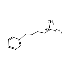 C[SiH](C)CCCCc1ccccc1